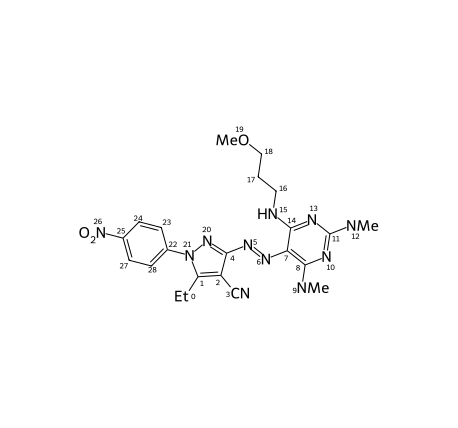 CCc1c(C#N)c(N=Nc2c(NC)nc(NC)nc2NCCCOC)nn1-c1ccc([N+](=O)[O-])cc1